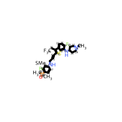 CSc1c(NCC#Cc2sc3c(N[C@@H]4CCN(C)C[C@@H]4F)cccc3c2CC(F)(F)F)ccc(P(C)(C)=O)c1F